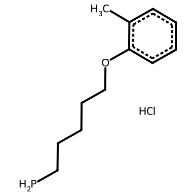 Cc1ccccc1OCCCCCP.Cl